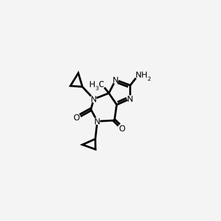 CC12N=C(N)N=C1C(=O)N(C1CC1)C(=O)N2C1CC1